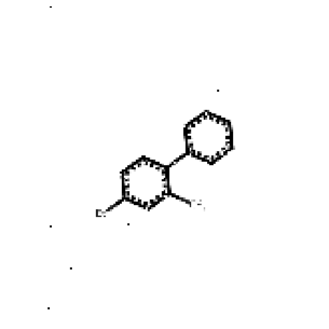 CCc1ccc(-c2ccccc2)c(C(F)(F)F)c1